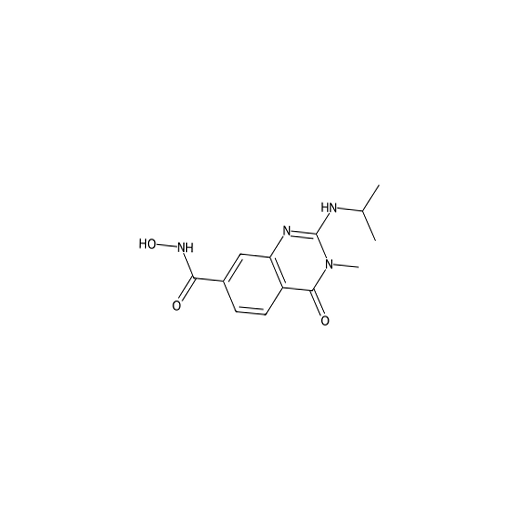 CC(C)Nc1nc2cc(C(=O)NO)ccc2c(=O)n1C